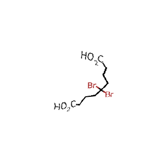 O=C(O)CCCC(Br)(Br)CCCC(=O)O